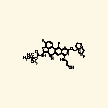 CC(C)(C)OC(=O)Nc1sc2c(F)ccc(-c3c(Cl)cc4c(NCCO)nc(OC[C@@]56CCCN5C[C@H](F)C6)nc4c3F)c2c1C#N